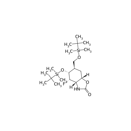 CC(C)(C)[Si](C)(C)OC[C@H]1C[C@@H]2OC(=O)N[C@@H]2[C@H](F)[C@@H]1O[Si](C)(C)C(C)(C)C